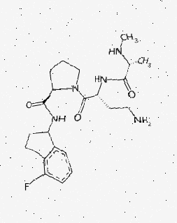 CN[C@H](C)C(=O)N[C@H](CCN)C(=O)N1CCC[C@@H]1C(=O)NC1CCc2c(F)cccc21